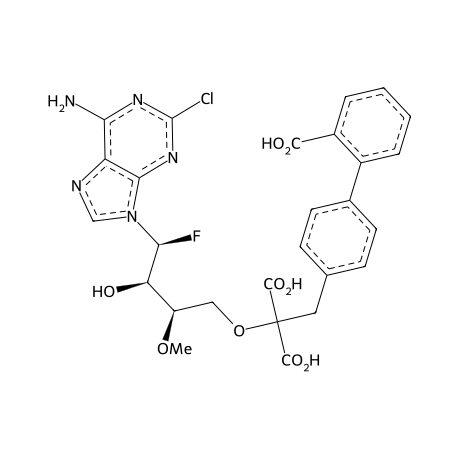 CO[C@H](COC(Cc1ccc(-c2ccccc2C(=O)O)cc1)(C(=O)O)C(=O)O)[C@@H](O)[C@H](F)n1cnc2c(N)nc(Cl)nc21